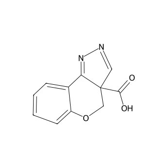 O=C(O)C12C=NN=C1c1ccccc1OC2